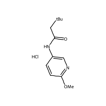 COc1ccc(NC(=O)CC(C)(C)C)cn1.Cl